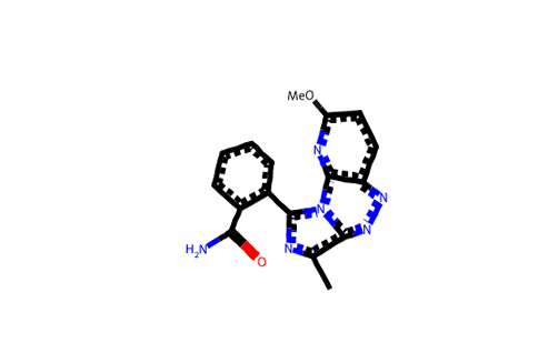 COc1ccc2nnc3c(C)nc(-c4ccccc4C(N)=O)n3c2n1